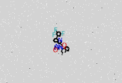 CCCC(NC(=O)c1cnc2c(-c3cc(F)cc(F)c3F)cccc2c1N1CCOCC1)c1ccccc1C